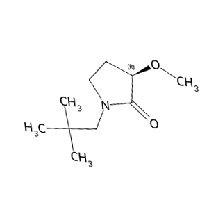 CO[C@@H]1CCN(CC(C)(C)C)C1=O